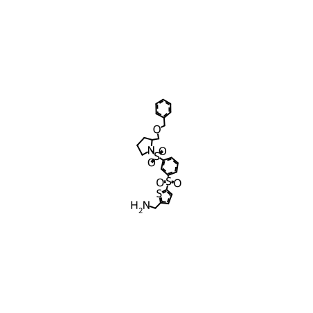 NCc1ccc(S(=O)(=O)c2cccc(S(=O)(=O)N3CCCC3COCc3ccccc3)c2)s1